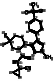 Cn1cc(-c2ccc(S(C)(=O)=O)cc2)c([C@@H]2CCC(F)(F)C[C@H]2C(=O)NC2(C#N)CC2)n1